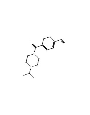 CC(C)N1CCN(C(=O)C2=CC=C(C=O)CC2)CC1